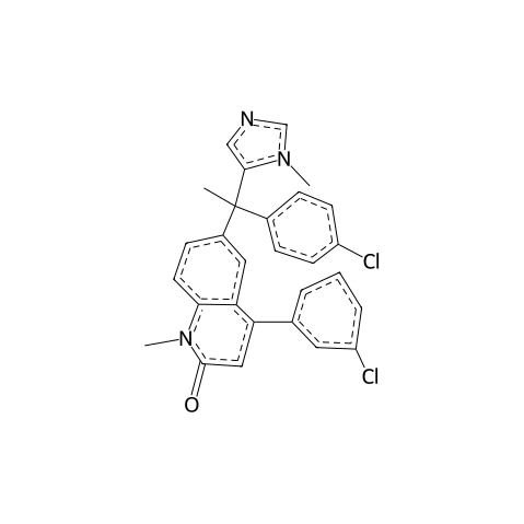 Cn1cncc1C(C)(c1ccc(Cl)cc1)c1ccc2c(c1)c(-c1cccc(Cl)c1)cc(=O)n2C